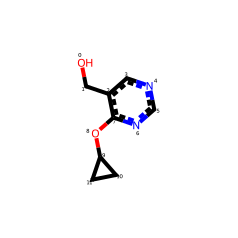 OCc1cncnc1OC1CC1